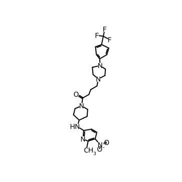 Cc1nc(NC2CCN(C(=O)CCCN3CCN(c4ccc(C(F)(F)F)cc4)CC3)CC2)ccc1[N+](=O)[O-]